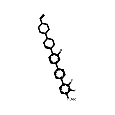 C=CC1CCC(C2CC=C(c3ccc(-c4ccc(-c5ccc(CCCCCCCCCC)c(F)c5F)cc4)cc3F)CC2)CC1